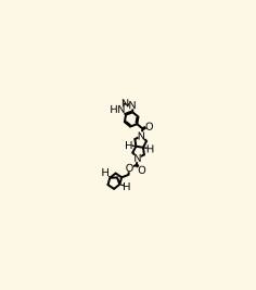 O=C(OCC1C[C@@H]2CC[C@@H]1C2)N1C[C@@H]2CN(C(=O)c3ccc4[nH]nnc4c3)C[C@@H]2C1